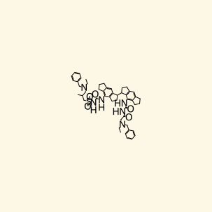 CCN(CC(=O)NC(=O)Nc1c2c(cc3c1C(C1CCc4c1cc1c(c4NC(=O)NS(=O)(=O)CC(C)CN(CC)Cc4ccccc4)CCC1)CC3)CCC2)Cc1ccccc1